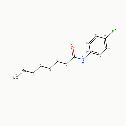 N#C[Se]CCCCCC(=O)Nc1ccc(F)cc1